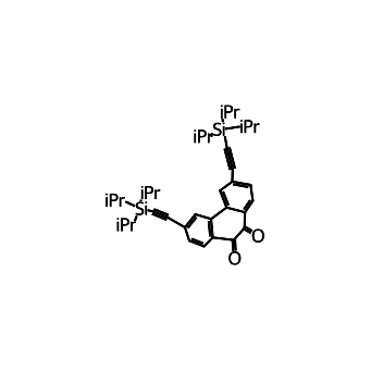 CC(C)[Si](C#Cc1ccc2c(c1)-c1cc(C#C[Si](C(C)C)(C(C)C)C(C)C)ccc1C(=O)C2=O)(C(C)C)C(C)C